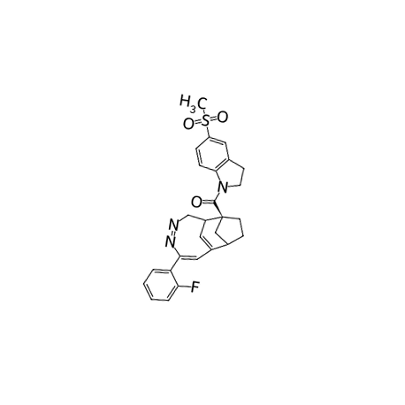 CS(=O)(=O)c1ccc2c(c1)CCN2C(=O)[C@@]12CCC(C1)C1=CC2C/N=N\C(c2ccccc2F)=C/1